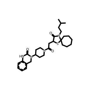 CC(C)CCN1C(=O)C(CC(=O)N2CCC(N3Cc4ccccc4NC3=O)CC2)SC12CCCCCC2